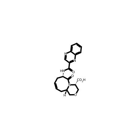 O=C(N[C@H]1C/C=C\C[C@H]2COC[C@@H](C(=O)O)N2C1=O)c1cnc2ccccc2n1